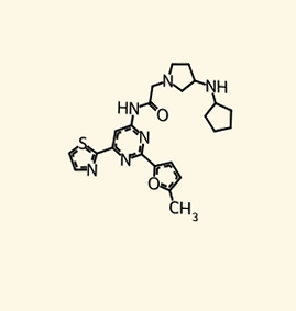 Cc1ccc(-c2nc(NC(=O)CN3CCC(NC4CCCC4)C3)cc(-c3nccs3)n2)o1